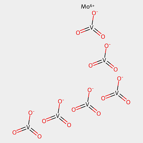 [Mo+6].[O]=[V](=[O])[O-].[O]=[V](=[O])[O-].[O]=[V](=[O])[O-].[O]=[V](=[O])[O-].[O]=[V](=[O])[O-].[O]=[V](=[O])[O-]